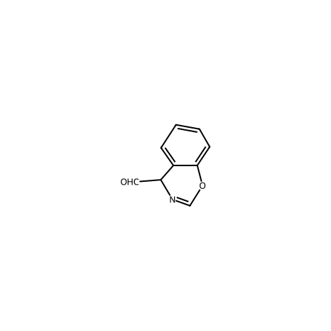 O=CC1N=COc2ccccc21